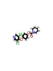 O=C(Oc1ccc(Oc2c(Cl)cncc2Cl)cc1)N1CCCCC1